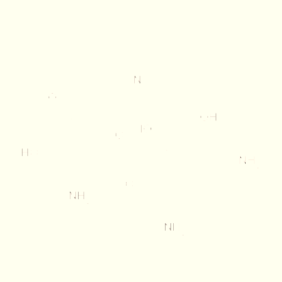 CCNCC1OC(OC2C(N)CC(N)C(O)C2O)C(N)C(O)C1O